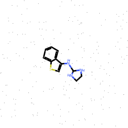 c1ccc2c(NC3NCCN3)csc2c1